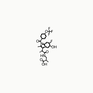 Cc1c([C@H](C)C(=O)NCC(C)C(=O)O)c2cc(O)c(F)cc2n1C(=O)c1ccc(OC(F)(F)F)cc1